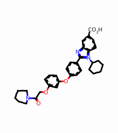 O=C(O)c1ccc2c(c1)nc(-c1ccc(Oc3cccc(OCC(=O)N4CCCCC4)c3)cc1)n2C1CCCCC1